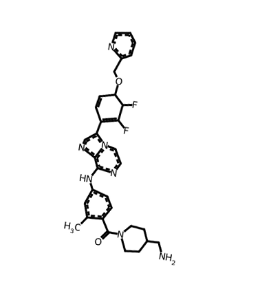 Cc1cc(Nc2nccn3c(C4=C(F)C(F)C(OCc5ccccn5)C=C4)cnc23)ccc1C(=O)N1CCC(CN)CC1